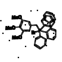 COc1cc(CP(Br)(c2ccccc2)(c2ccccc2)c2ccccc2-c2ccccc2)cc(OC)c1OC